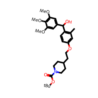 COc1cc(C(O)c2ccc(OCCC3CCN(C(=O)OC(C)(C)C)CC3)cc2C)cc(OC)c1OC